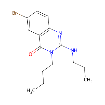 CCCCn1c(NCCC)nc2ccc(Br)cc2c1=O